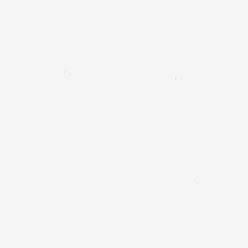 C[C@@H]1CCOC(CC2COC(C[C@]3(C)CCOC3)C2)C1